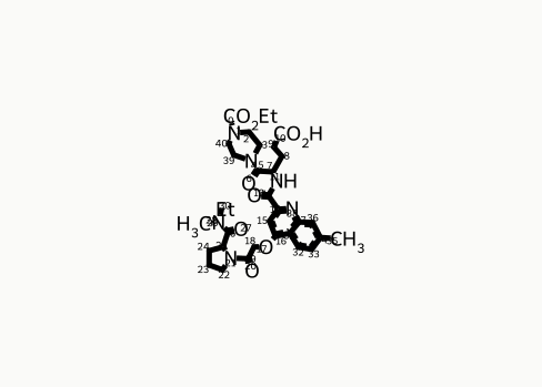 CCOC(=O)N1CCN(C(=O)C(CCC(=O)O)NC(=O)c2cc(OCC(=O)N3CCCC3C(=O)N(C)CC)c3ccc(C)cc3n2)CC1